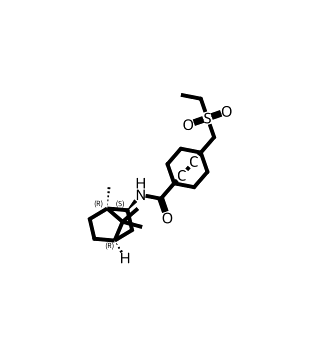 CCS(=O)(=O)CC12CCC(C(=O)N[C@H]3C[C@H]4CC[C@]3(C)C4(C)C)(CC1)CC2